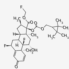 C[C@@H]1C[C@H]2[C@@H]3C[C@H](F)C4=CC(=O)C=C[C@]4(C)[C@@]3(F)[C@@H](O)C[C@]2(C)[C@@]1(OC(=O)OCC1C(C)(C)C1(C)C)C(=O)OCF